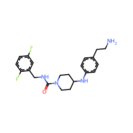 NCCc1ccc(NC2CCN(C(=O)NCc3cc(F)ccc3F)CC2)cc1